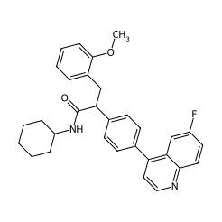 COc1ccccc1CC(C(=O)NC1CCCCC1)c1ccc(-c2ccnc3ccc(F)cc23)cc1